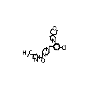 Cc1cnn(C(=O)N2CCN(Cc3ccc(Cl)cc3N3CCC4(CCOCC4)C3)CC2)c1